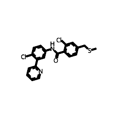 CSCc1ccc(C(=O)Nc2ccc(Cl)c(-c3ccccn3)c2)c(Cl)c1